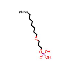 CCCCCCCCCCCCCCCCOCCCOP(=O)(O)O